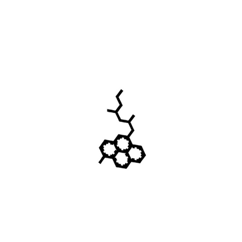 CCCC(C)CC(C)Cc1cc2ccc(C)c3ccc4cccc1c4c23